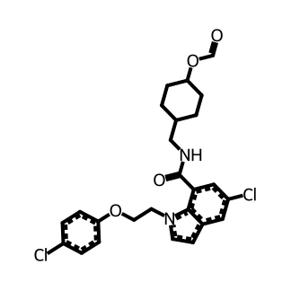 O=COC1CCC(CNC(=O)c2cc(Cl)cc3ccn(CCOc4ccc(Cl)cc4)c23)CC1